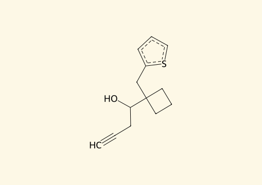 C#CCC(O)C1(Cc2cccs2)CCC1